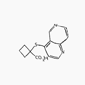 O=C(O)C1(Sc2ccnc3ccncc23)CCC1